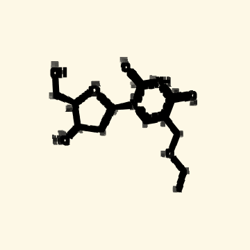 CCOCc1cn([C@H]2CC(O)[C@@H](CO)O2)c(=O)[nH]c1=O